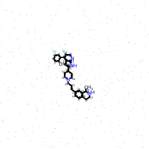 COc1ccc(F)cc1-c1c(F)cnc2[nH]c(C3CCN(CCCc4ccc5c(c4)C(C)NCC5)CC3)cc12